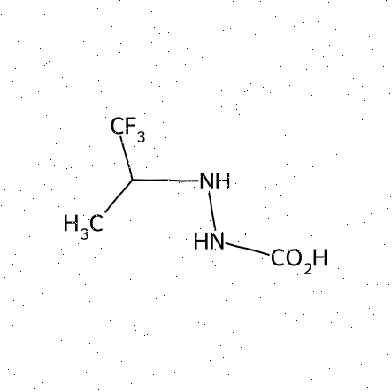 CC(NNC(=O)O)C(F)(F)F